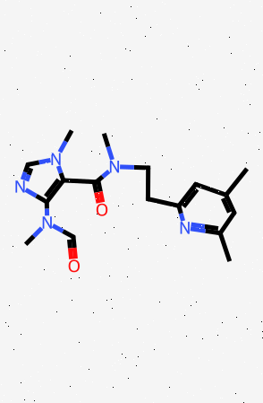 Cc1cc(C)nc(CCN(C)C(=O)c2c(N(C)C=O)ncn2C)c1